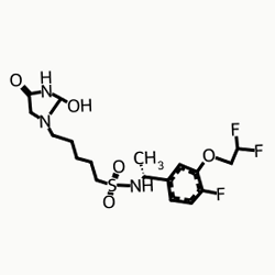 C[C@@H](NS(=O)(=O)CCCCCN1CC(=O)NC1O)c1ccc(F)c(OCC(F)F)c1